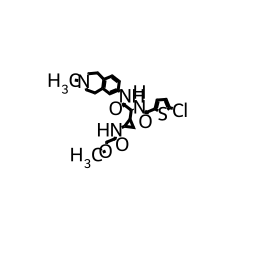 COCC(=O)NC1CC1[C@@H](NC(=O)c1ccc(Cl)s1)C(=O)Nc1ccc2c(c1)CCN(C)CC2